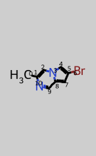 Cc1cn2cc(Br)cc2cn1